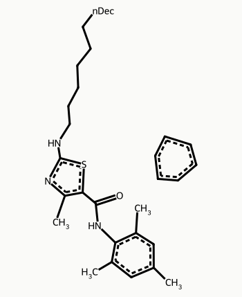 CCCCCCCCCCCCCCCCNc1nc(C)c(C(=O)Nc2c(C)cc(C)cc2C)s1.c1ccccc1